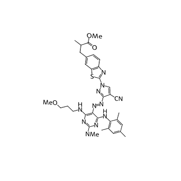 CNc1nc(NCCCOC)c(N=Nc2nn(-c3nc4ccc(CC(C)C(=O)OC)cc4s3)cc2C#N)c(Nc2c(C)cc(C)cc2C)n1